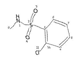 CNS(=O)(=O)c1ccc[c]c1Cl